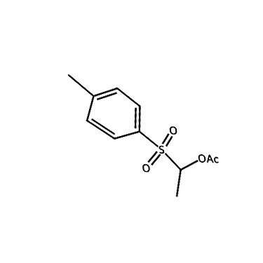 CC(=O)OC(C)S(=O)(=O)c1ccc(C)cc1